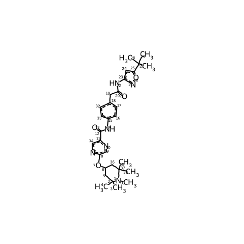 CN1C(C)(C)CC(Oc2cnc(C(=O)Nc3ccc(CC(=O)Nc4cc(C(C)(C)C)on4)cc3)cn2)CC1(C)C